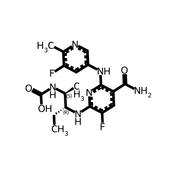 CC[C@@H](Nc1nc(Nc2cnc(C)c(F)c2)c(C(N)=O)cc1F)[C@H](C)NC(=O)O